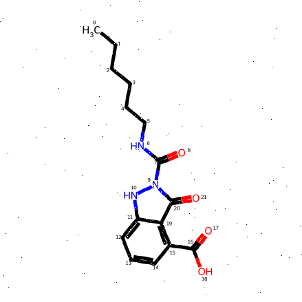 CCCCCCNC(=O)n1[nH]c2cccc(C(=O)O)c2c1=O